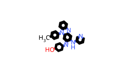 Cc1ccc(-n2c3c/c(=N\C4CCC(O)CC4)c(Nc4cccnc4)cc-3nc3ccccc32)cc1